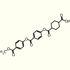 COC(=O)c1ccc(OC(=O)c2ccc(OC(=O)C3CCC(C(=O)O)CC3)cc2)cc1